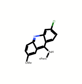 CCCCC[AsH]c1c2ccc(Cl)cc2nc2ccc(OC)cc12